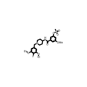 CCOc1cc(CN2CCC(NC(=O)c3cc(OC)cc(OS(C)(=O)=O)c3)CC2)cc(OCC)c1F